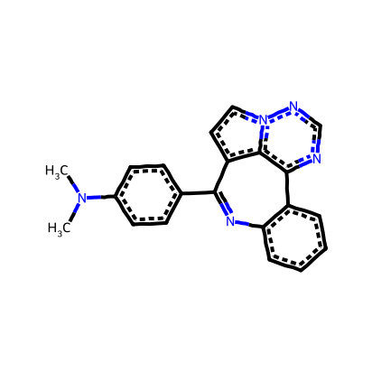 CN(C)c1ccc(C2=Nc3ccccc3-c3ncnn4ccc2c34)cc1